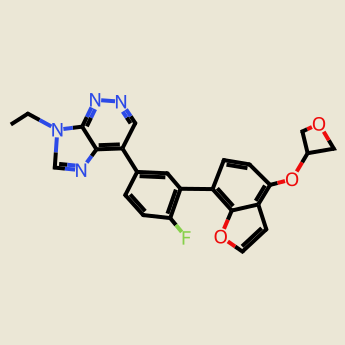 CCn1cnc2c(-c3ccc(F)c(-c4ccc(OC5COC5)c5ccoc45)c3)cnnc21